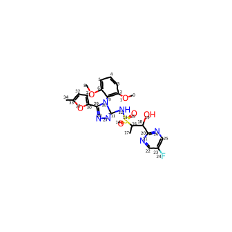 COc1cccc(OC)c1-n1c(NS(=O)(=O)C(C)C(O)c2ncc(F)cn2)nnc1-c1ccc(C)o1